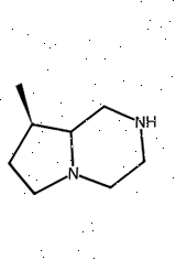 C[C@@H]1CCN2CCNCC12